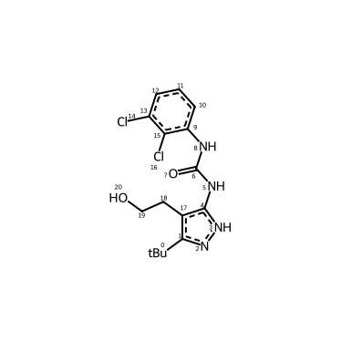 CC(C)(C)c1n[nH]c(NC(=O)Nc2cccc(Cl)c2Cl)c1CCO